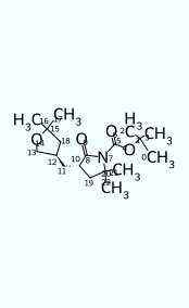 CC(C)(C)OC(=O)N1C(=O)[C@@H](C[C@H]2COC(C)(C)C2)CC1(C)C